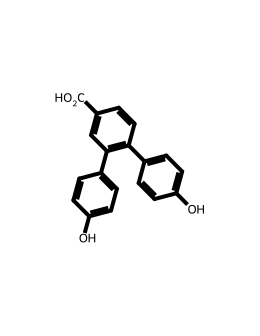 O=C(O)c1ccc(-c2ccc(O)cc2)c(-c2ccc(O)cc2)c1